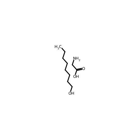 CCCCCCCCO.NCC(=O)O